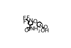 NC1(c2cc(OC3CCN(C(=O)O)CC3)nc(C(F)(F)F)c2)COC1